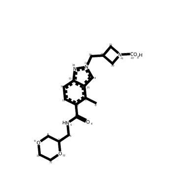 Cc1c(C(=O)NCC2COCCO2)ccc2nn(CC3CN(C(=O)O)C3)cc12